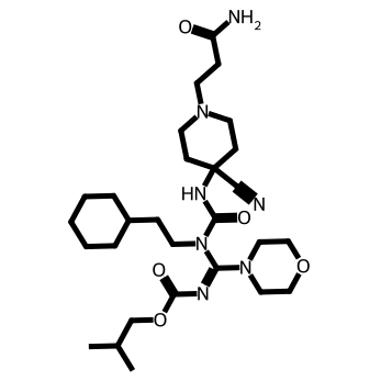 CC(C)COC(=O)N=C(N1CCOCC1)N(CCC1CCCCC1)C(=O)NC1(C#N)CCN(CCC(N)=O)CC1